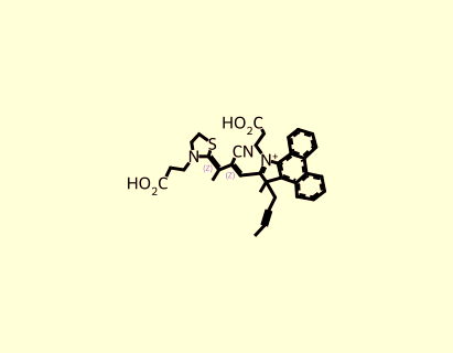 CC#CCC1(C)C(/C=C(C#N)/C(C)=C2\SCCN2CCC(=O)O)=[N+](CCC(=O)O)c2c1c1ccccc1c1ccccc21